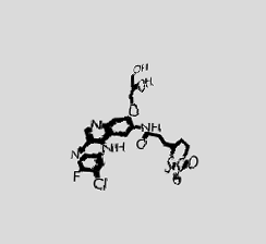 N#Cc1cnc2cc(OCC(O)CO)c(NC(=O)CCC3CCS(=O)(=O)S3)cc2c1Nc1ccc(F)c(Cl)c1